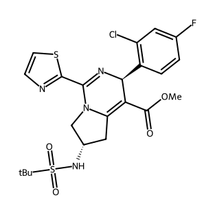 COC(=O)C1=C2C[C@H](NS(=O)(=O)C(C)(C)C)CN2C(c2nccs2)=N[C@H]1c1ccc(F)cc1Cl